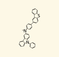 CN(c1ccc(-c2ccc3sc4ccccc4c3c2)cc1)c1ccc2c(c1)c1ccccc1n2-c1ccccc1